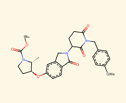 COc1ccc(CN2C(=O)CCC(N3Cc4cc(O[C@H]5CCN(C(=O)OC(C)(C)C)[C@@H]5C)ccc4C3=O)C2=O)cc1